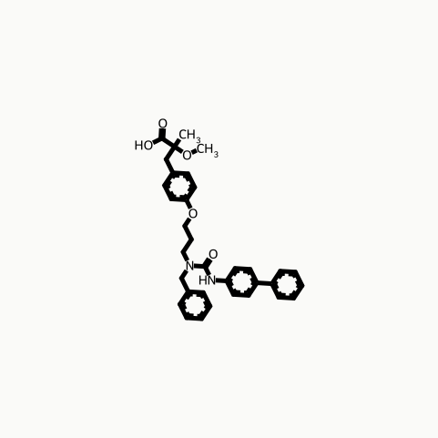 COC(C)(Cc1ccc(OCCCN(Cc2ccccc2)C(=O)Nc2ccc(-c3ccccc3)cc2)cc1)C(=O)O